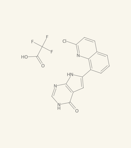 O=C(O)C(F)(F)F.O=c1[nH]cnc2[nH]c(-c3cccc4ccc(Cl)nc34)cc12